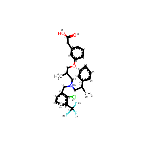 CC(COc1cccc(CC(=O)O)c1)CN(Cc1cccc(C(F)(F)F)c1Cl)CC(C)c1ccccc1